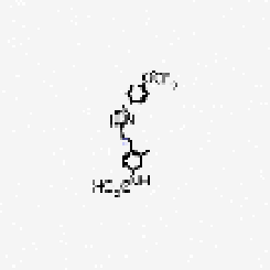 Cc1cc(NC(=O)O)ccc1/C=C/c1ncn(-c2ccc(OC(F)(F)F)cc2)n1